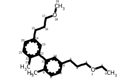 CCOCCCc1ccc(C)c(-c2cc(CCCOC)ccc2C)c1